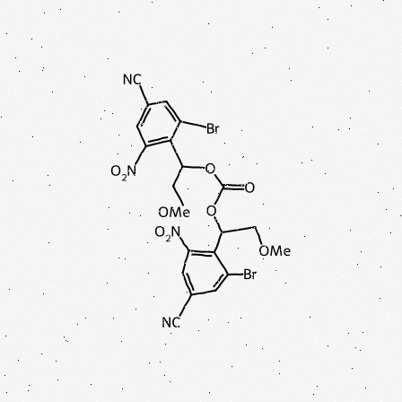 COCC(OC(=O)OC(COC)c1c(Br)cc(C#N)cc1[N+](=O)[O-])c1c(Br)cc(C#N)cc1[N+](=O)[O-]